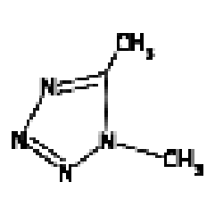 Cc1nnnn1C